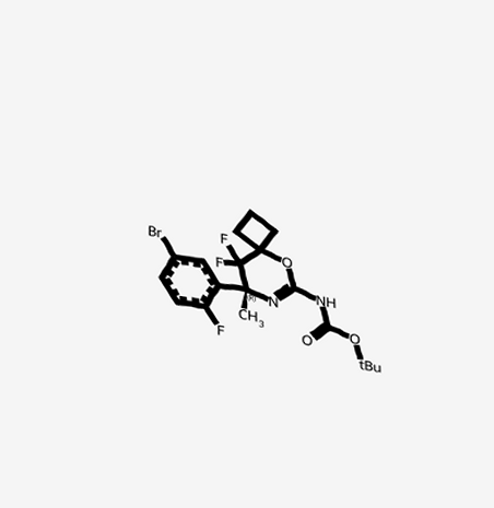 CC(C)(C)OC(=O)NC1=N[C@](C)(c2cc(Br)ccc2F)C(F)(F)C2(CCC2)O1